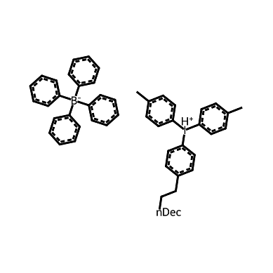 CCCCCCCCCCCCc1ccc([IH+](c2ccc(C)cc2)c2ccc(C)cc2)cc1.c1ccc([B-](c2ccccc2)(c2ccccc2)c2ccccc2)cc1